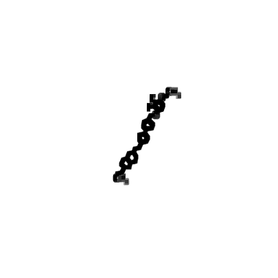 CCCC1CCC2CC(CCc3ccc(-c4ccc(COc5ccc(OCC)c(F)c5F)cc4)cc3)CCC2C1